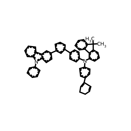 CC1(C)c2ccccc2-c2c(N(c3ccc(C4=CCCC=C4)cc3)c3ccc(-c4cccc(-c5ccc6c(c5)c5ccccc5n6-c5ccccc5)c4)cc3)cccc21